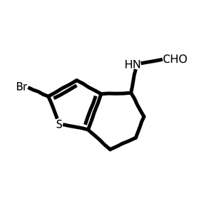 O=CNC1CCCc2sc(Br)cc21